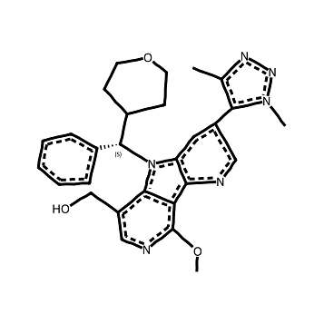 COc1ncc(CO)c2c1c1ncc(-c3c(C)nnn3C)cc1n2[C@H](c1ccccc1)C1CCOCC1